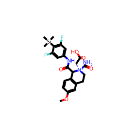 COc1ccc2c(c1)CC[N@+](CC(=O)O)(C(N)=O)C2C(=O)Nc1cc(F)c([Si](C)(C)C)c(F)c1